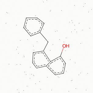 Oc1cccc2cccc(Cc3ccccc3)c12